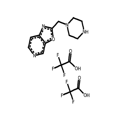 O=C(O)C(F)(F)F.O=C(O)C(F)(F)F.c1cc2nc(CN3CCNCC3)oc2cn1